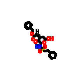 O=C(O)CC([AsH]C(=O)OCc1ccccc1)C(=O)CNS(=O)(=O)CCC1CCCCC1